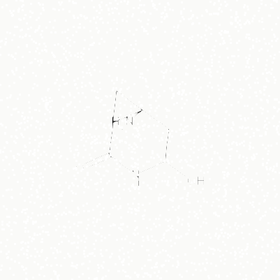 NC12CC(O)NC(=O)C1C2